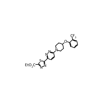 CCOC(=O)c1nnc(-c2ccc(N3CCC(Oc4ccccc4C(F)(F)F)CC3)nn2)s1